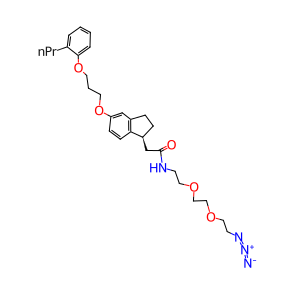 CCCc1ccccc1OCCCOc1ccc2c(c1)CC[C@H]2CC(=O)NCCOCCOCCN=[N+]=[N-]